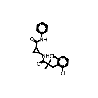 CC(C)(Cc1c(Cl)cccc1Cl)C(=O)NC1CC1C(=O)Nc1ccccc1